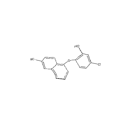 N#Cc1ccc2c(Oc3ccc(Cl)cc3O)cccc2c1